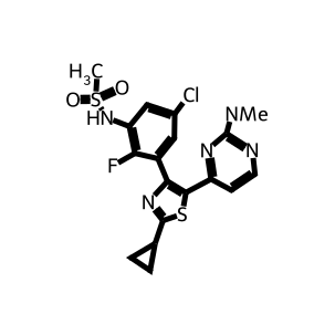 CNc1nccc(-c2sc(C3CC3)nc2-c2cc(Cl)cc(NS(C)(=O)=O)c2F)n1